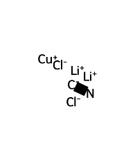 [C-]#N.[Cl-].[Cl-].[Cu+].[Li+].[Li+]